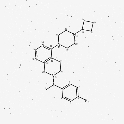 CC(c1ccc(F)cc1)N1CCc2c(ncnc2N2CCN(C3CCC3)CC2)C1